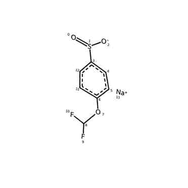 O=S([O-])c1ccc(OC(F)F)cc1.[Na+]